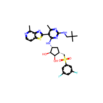 Cc1nc(NCC(C)(C)C)nc(N[C@@H]2C[C@H](CS(=O)(=O)c3cc(F)cc(F)c3)[C@@H](O)[C@H]2O)c1-c1nc2c(C)nccc2s1